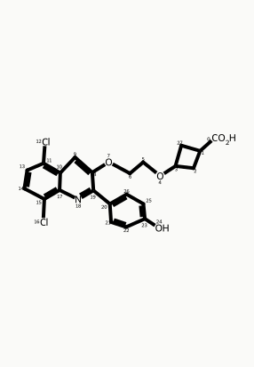 O=C(O)C1CC(OCCOc2cc3c(Cl)ccc(Cl)c3nc2-c2ccc(O)cc2)C1